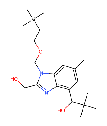 Cc1cc(C(O)C(C)(C)C)c2nc(CO)n(COCC[Si](C)(C)C)c2c1